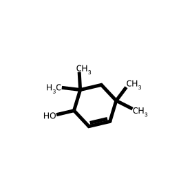 CC1(C)C=CC(O)C(C)(C)C1